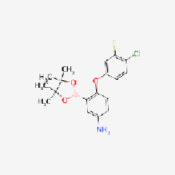 CC1(C)OB(c2cc(N)ccc2Oc2ccc(Cl)c(F)c2)OC1(C)C